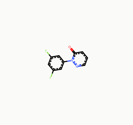 O=c1cccnn1-c1cc(F)cc(F)c1